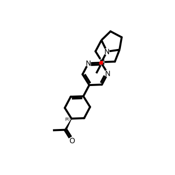 CC(=O)[C@H]1CC=C(c2cnc(N3C4CCC3CN(C)C4)nc2)CC1